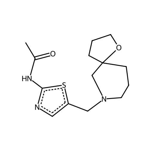 CC(=O)Nc1ncc(CN2CCCC3(CCCO3)C2)s1